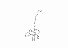 CC/C=C/CC/C=C/n1ccc(=O)n(Nc2ccccc2)c1=O